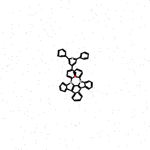 c1ccc(-c2cc(-c3ccc(-n4c5ccccc5c5c6ccccc6c6c7ccccc7n(-c7ccccc7)c6c54)cc3)cc(-c3ccccc3)n2)cc1